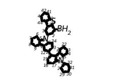 Bc1cc(-n2c3ccccc3c3cc(-c4cccc5c4c4ccccc4n5-c4ccccc4)ccc32)cc2c1sc1ccccc12